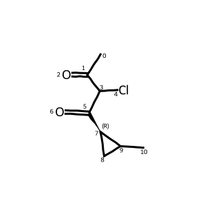 CC(=O)C(Cl)C(=O)[C@@H]1CC1C